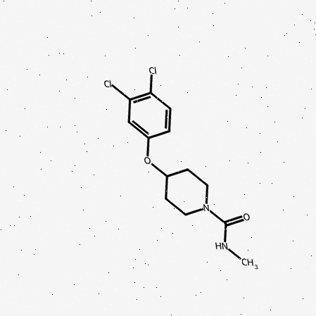 CNC(=O)N1CCC(Oc2ccc(Cl)c(Cl)c2)CC1